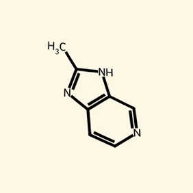 Cc1nc2ccncc2[nH]1